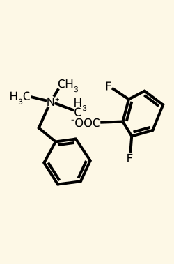 C[N+](C)(C)Cc1ccccc1.O=C([O-])c1c(F)cccc1F